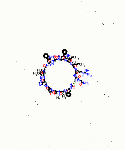 CCCC[C@H]1C(=O)N(C)[C@@H](CCCC)C(=O)N[C@@H](CCCNC(=N)N)C(=O)N[C@H](C(=O)NCC(N)=O)CSCC(=O)N[C@@H](Cc2ccccc2)C(=O)N(C)[C@@H](C)C(=O)N[C@@H]([C@@H](C)O)C(=O)N2CCC[C@H]2C(=O)NCC(c2cnc[nH]2)C(=O)N[C@@H](CC(C)C)C(=O)N(C)CC(=O)N[C@@H](Cc2c[nH]c3ccccc23)C(=O)N[C@@H](CO)C(=O)N[C@@H](Cc2c[nH]c3ccccc23)C(=O)N1C